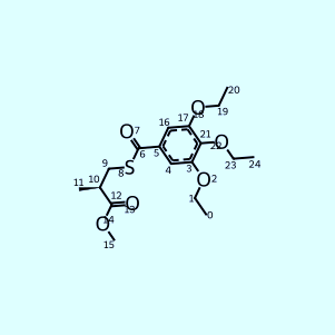 CCOc1cc(C(=O)SC[C@H](C)C(=O)OC)cc(OCC)c1OCC